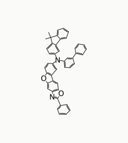 CC1(C)c2ccccc2-c2cc(N(c3cccc(-c4ccccc4)c3)c3ccc4oc5cc6nc(-c7ccccc7)oc6cc5c4c3)ccc21